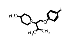 CC1CCN(C(COc2ccc(I)cc2)C(C)C)CC1